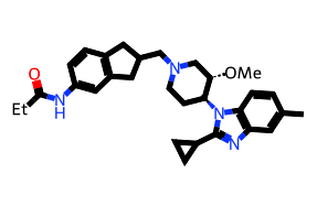 CCC(=O)Nc1ccc2c(c1)CC(CN1CC[C@H](n3c(C4CC4)nc4cc(C)ccc43)[C@@H](OC)C1)C2